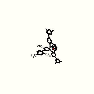 Cc1cc(C)cc(-c2ccc3c(c2)c2ccccc2n3-c2cc(C#N)c(-c3ccc(C(F)(F)F)cc3C(F)(F)F)cc2-n2c3ccccc3c3cc(-c4cc(C)cc(C)c4)ccc32)c1